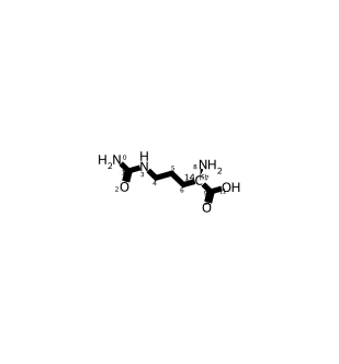 NC(=O)NCCC[14C@H](N)C(=O)O